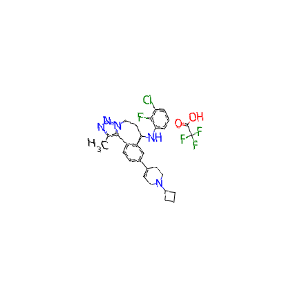 Cc1nnn2c1-c1ccc(C3=CCN(C4CCC4)CC3)cc1C(Nc1cccc(Cl)c1F)CC2.O=C(O)C(F)(F)F